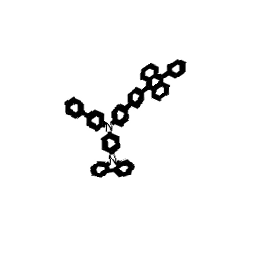 c1ccc(-c2ccc(N(c3ccc(-c4ccc(-c5c6c(c(-c7ccccc7)c7c5CCCC7)CCCC6)cc4)cc3)c3ccc(-n4c5ccccc5c5ccccc54)cc3)cc2)cc1